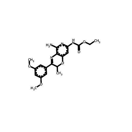 CCOC(=O)Nc1cc2c(c(N)n1)N=C(c1cc(OC)cc(OC)c1)C(C)O2